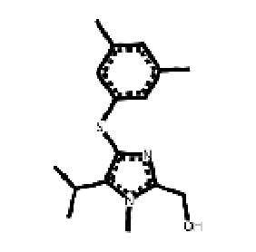 Cc1cc(C)cc(Sc2nc(CO)n(C)c2C(C)C)c1